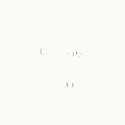 CCC(CC(C)C(=O)O)C(=O)OC